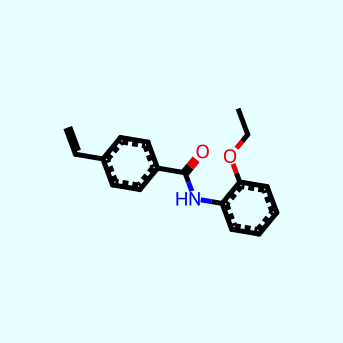 C=Cc1ccc(C(=O)Nc2ccccc2OCC)cc1